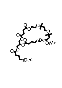 CCCCCCCCCCCCCC(=O)OCC(COC(=O)CCC(=O)OCCOC(C)(C)CCOC(C)(C)CCOC)OC(=O)CCCCCCCCCCCCC